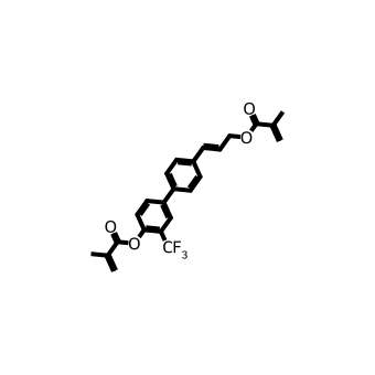 C=C(C)C(=O)OC/C=C/c1ccc(-c2ccc(OC(=O)C(=C)C)c(C(F)(F)F)c2)cc1